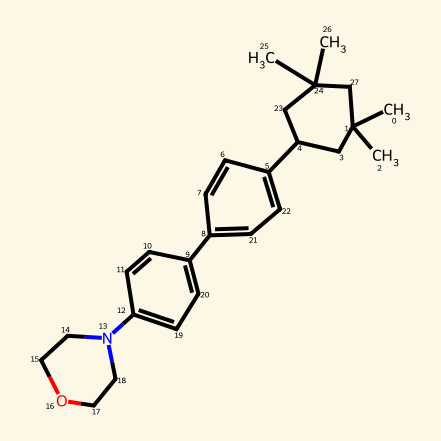 CC1(C)CC(c2ccc(-c3ccc(N4CCOCC4)cc3)cc2)CC(C)(C)C1